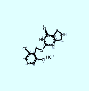 Cl.O=c1[nH]c(SCc2c(Cl)cncc2Cl)nc2c1CNC2